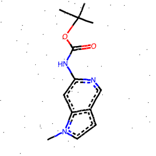 Cn1ccc2cnc(NC(=O)OC(C)(C)C)cc21